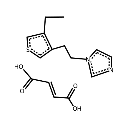 CCc1cscc1CCn1ccnc1.O=C(O)/C=C/C(=O)O